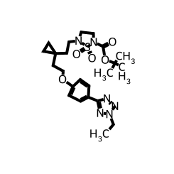 CCn1nnc(-c2ccc(OCCC3(CCN4CCN(C(=O)OC(C)(C)C)S4(=O)=O)CC3)cc2)n1